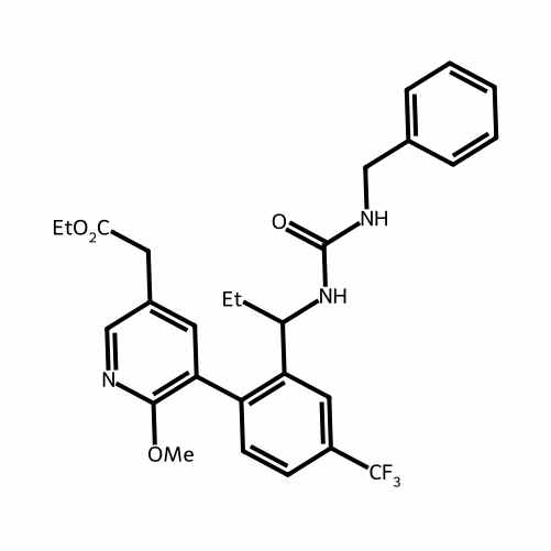 CCOC(=O)Cc1cnc(OC)c(-c2ccc(C(F)(F)F)cc2C(CC)NC(=O)NCc2ccccc2)c1